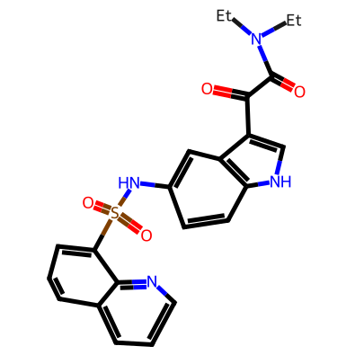 CCN(CC)C(=O)C(=O)c1c[nH]c2ccc(NS(=O)(=O)c3cccc4cccnc34)cc12